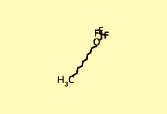 CCCCCCCCCCCOCC(F)(F)F